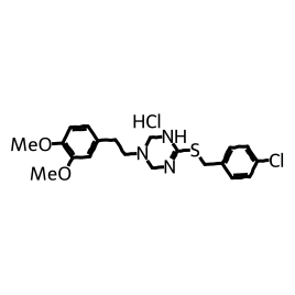 COc1ccc(CCN2CN=C(SCc3ccc(Cl)cc3)NC2)cc1OC.Cl